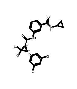 O=C(NC1CC1)c1cccc(NC(=O)[C@H]2[C@H](c3cc(Cl)cc(Cl)c3)C2(Cl)Cl)c1